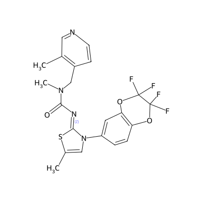 Cc1cn(-c2ccc3c(c2)OC(F)(F)C(F)(F)O3)/c(=N/C(=O)N(C)Cc2ccncc2C)s1